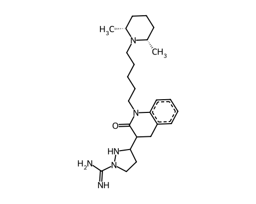 C[C@@H]1CCC[C@H](C)N1CCCCCN1C(=O)C(C2CCN(C(=N)N)N2)Cc2ccccc21